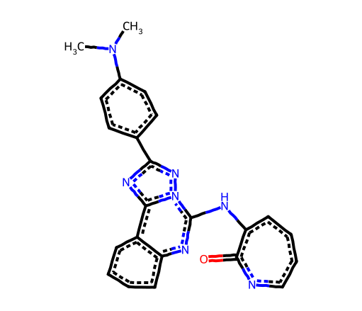 CN(C)c1ccc(-c2nc3c4ccccc4nc(Nc4ccccnc4=O)n3n2)cc1